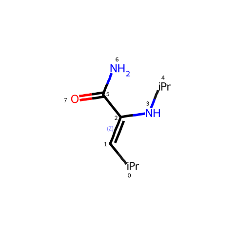 CC(C)/C=C(\NC(C)C)C(N)=O